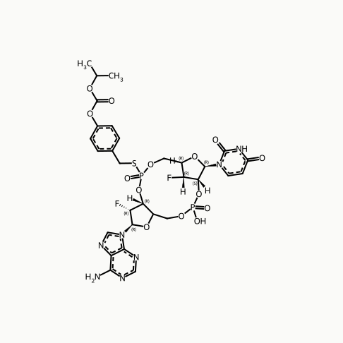 CC(C)OC(=O)Oc1ccc(CSP2(=O)OC[C@H]3O[C@@H](n4ccc(=O)[nH]c4=O)[C@H](OP(=O)(O)OCC4O[C@@H](n5cnc6c(N)ncnc65)[C@H](F)[C@@H]4O2)[C@@H]3F)cc1